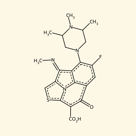 CN=c1c2c(N3CC(C)N(C)C(C)C3)c(F)cc3c(=O)c(C(=O)O)c4scc1n4c32